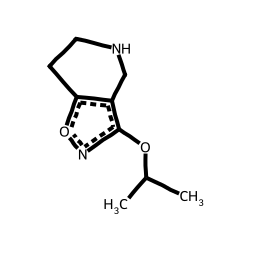 CC(C)Oc1noc2c1CNCC2